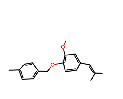 COc1cc(C=C(C)C)ccc1OCc1ccc(C)cc1